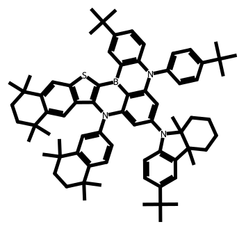 CC(C)(C)c1ccc(N2c3ccc(C(C)(C)C)cc3B3c4sc5cc6c(cc5c4N(c4ccc5c(c4)C(C)(C)CCC5(C)C)c4cc(N5c7ccc(C(C)(C)C)cc7C7(C)CCCCC57C)cc2c43)C(C)(C)CCC6(C)C)cc1